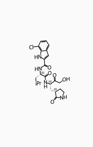 CC(C)C[C@H](NC(=O)c1cc2cccc(Cl)c2[nH]1)C(=O)N[C@@H](C[C@@H]1CCNC1=O)C(=O)CO